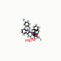 CC(=O)N1[C@H](C(=O)O)Cc2c(n(Cc3ccc(F)cc3)c3ccccc23)[C@@]1(Cc1ccccc1)C12CC3CC(CC(C3)C1)C2